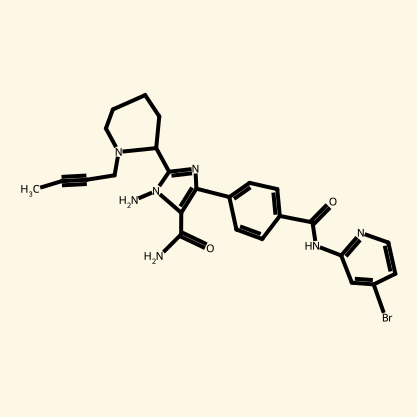 CC#CCN1CCCCC1c1nc(-c2ccc(C(=O)Nc3cc(Br)ccn3)cc2)c(C(N)=O)n1N